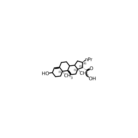 CCC[C@@H]1CC2C3CCC4=CC(O)CC[C@]4(C)C3=CC[C@]2(C)[C@H]1C(=O)CO